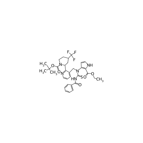 CCOC(=O)c1[nH]ccc1N(Cc1cccnc1C1CC(C(F)(F)F)CCN1C(=O)OC(C)(C)C)C(=S)NC(=O)c1ccccc1